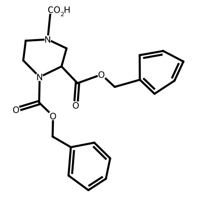 O=C(OCc1ccccc1)C1CN(C(=O)O)CCN1C(=O)OCc1ccccc1